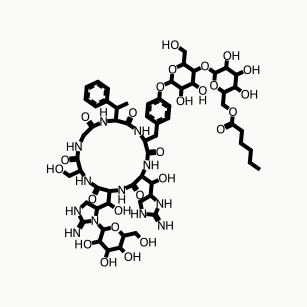 CCCCCC(=O)OCC1OC(OC2C(CO)OC(Oc3ccc(CC4NC(=O)C(C(C)c5ccccc5)NC(=O)CNC(=O)C(CO)NC(=O)C(C(O)C5CNC(=N)N5C5OC(CO)C(O)C(O)C5O)NC(=O)C(C(O)C5CNC(=N)N5)NC4=O)cc3)C(O)C2O)C(O)C(O)C1O